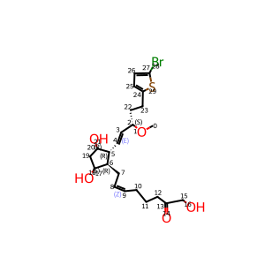 CO[C@H](/C=C/[C@@H]1[C@@H](C/C=C\CCCC(=O)CO)[C@@H](O)C[C@H]1O)CCc1ccc(Br)s1